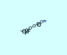 C/C=C/C1CCC(C2CCC(C3CCC(C4CCC(c5ccc(OCCC)c(F)c5F)CC4)CC3)CO2)CC1